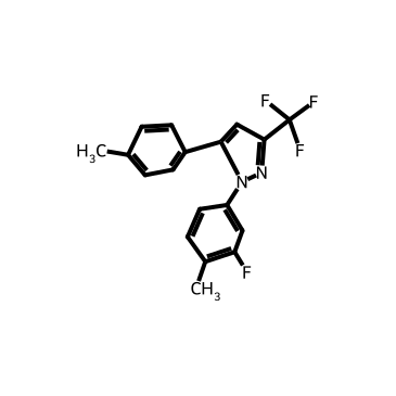 Cc1ccc(-c2cc(C(F)(F)F)nn2-c2ccc(C)c(F)c2)cc1